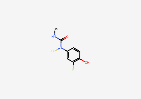 CC(C)NC(=O)N(S)c1ccc(O)c(F)c1